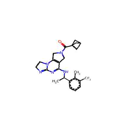 Cc1c(C(C)NC2=NC3=NCCN3C3=C2CN(C(=O)C24CC(C2)C4)C3)cccc1C(F)(F)F